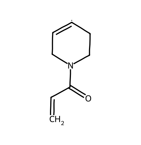 C=CC(=O)N1CC=[C]CC1